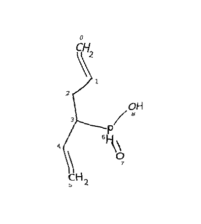 C=CCC(C=C)[PH](=O)O